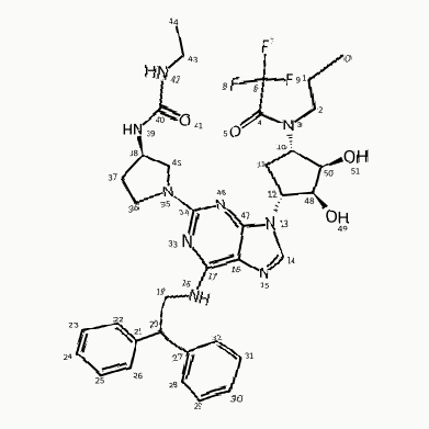 CCCN(C(=O)C(F)(F)F)[C@H]1C[C@@H](n2cnc3c(NCC(c4ccccc4)c4ccccc4)nc(N4CC[C@@H](NC(=O)NCC)C4)nc32)[C@H](O)[C@@H]1O